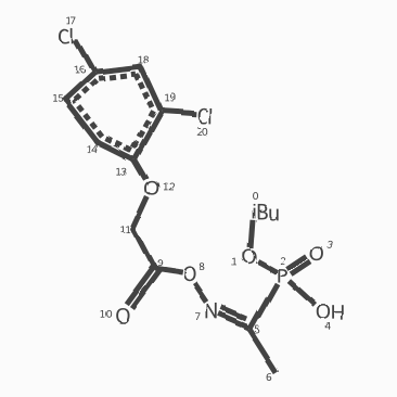 CCC(C)OP(=O)(O)C(C)=NOC(=O)COc1ccc(Cl)cc1Cl